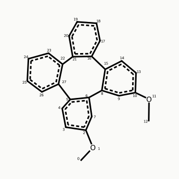 COc1ccc2c(c1)-c1cc(OC)ccc1-c1ccccc1-c1ccccc1-2